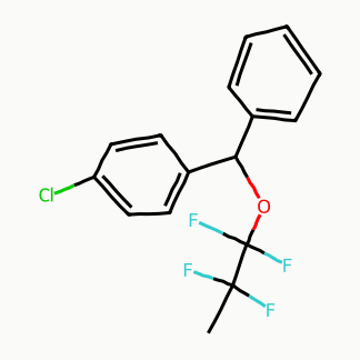 CC(F)(F)C(F)(F)OC(c1ccccc1)c1ccc(Cl)cc1